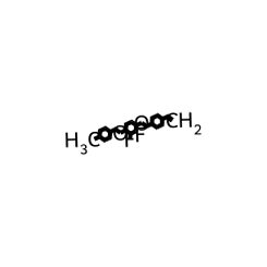 C=CC1CCC(COC2CCC(OCC3CCC(C)CC3)C(F)C2F)CC1